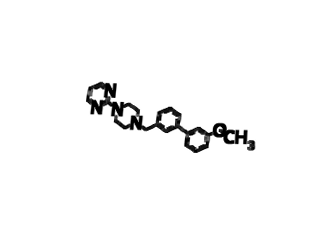 COc1cccc(-c2cccc(CN3CCN(c4ncccn4)CC3)c2)c1